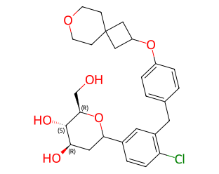 OC[C@H]1OC(c2ccc(Cl)c(Cc3ccc(OC4CC5(CCOCC5)C4)cc3)c2)C[C@@H](O)[C@@H]1O